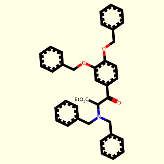 CCOC(=O)C(C(=O)c1ccc(OCc2ccccc2)c(OCc2ccccc2)c1)N(Cc1ccccc1)Cc1ccccc1